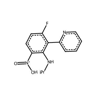 CC(C)Nc1c([N+](=O)O)ccc(F)c1-c1ccccn1